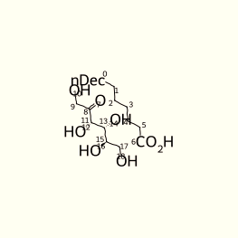 CCCCCCCCCCCCCCCC(=O)O.O=C(CO)[C@@H](O)[C@H](O)[C@H](O)CO